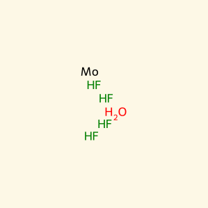 F.F.F.F.O.[Mo]